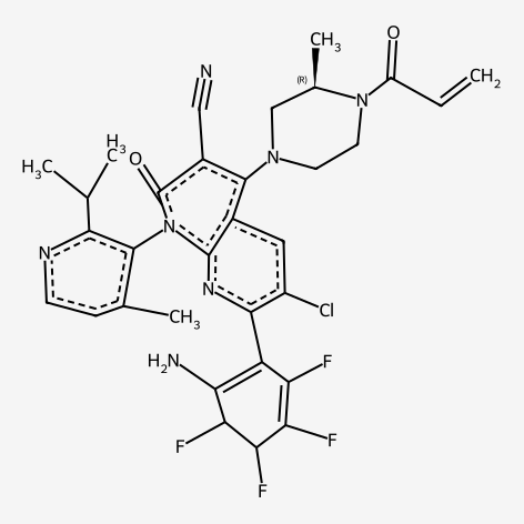 C=CC(=O)N1CCN(c2c(C#N)c(=O)n(-c3c(C)ccnc3C(C)C)c3nc(C4=C(N)C(F)C(F)C(F)=C4F)c(Cl)cc23)C[C@H]1C